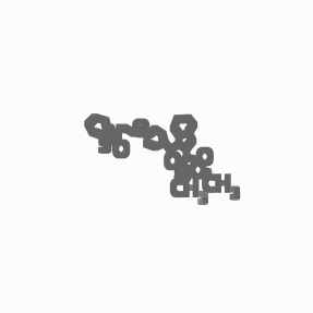 CCOC(=O)C(C(=O)OCC)C1=Cc2ccccc2C1Cc1ccc(OCCn2c(=O)sc3ccccc32)cc1